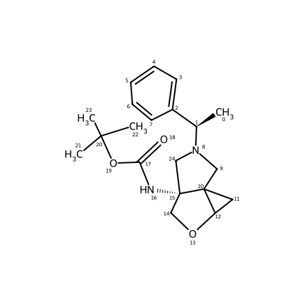 C[C@H](c1ccccc1)N1CC23CC2OC[C@@]3(NC(=O)OC(C)(C)C)C1